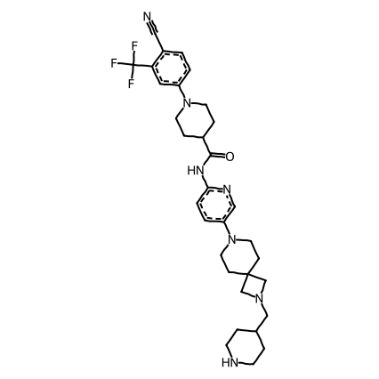 N#Cc1ccc(N2CCC(C(=O)Nc3ccc(N4CCC5(CC4)CN(CC4CCNCC4)C5)cn3)CC2)cc1C(F)(F)F